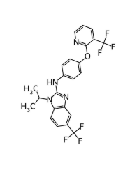 CC(C)n1c(Nc2ccc(Oc3ncccc3C(F)(F)F)cc2)nc2cc(C(F)(F)F)ccc21